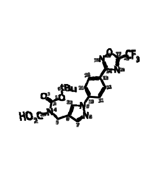 CC(C)(C)OC(=O)N(Cc1cnn(-c2ccc(-c3noc(C(F)(F)F)n3)cc2)c1)C(=O)O